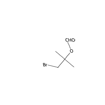 CC(C)(CBr)O[C]=O